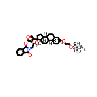 CC(C)(C)[Si](C)(C)OCCOC1CC[C@@]2(C)C(CC[C@@H]3[C@H]2CC[C@@]2(C)[C@H]3CCC2(OCCN2C(=O)c3ccccc3C2=O)c2ccoc2)C1